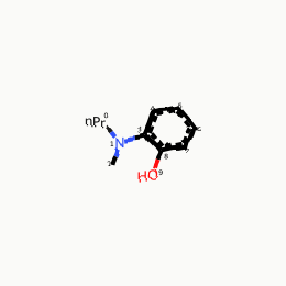 CCCN(C)c1ccccc1O